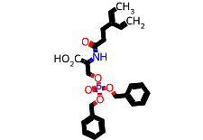 C=C/C(=C\C)CCC(=O)NC(COP(=O)(OCc1ccccc1)OCc1ccccc1)C(=O)O